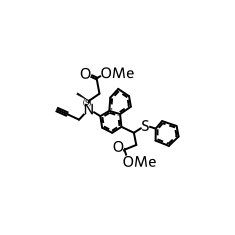 C#CCN(c1ccc(C(CC(=O)OC)Sc2ccccc2)c2ccccc12)[C@@H](C)CC(=O)OC